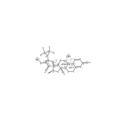 C[C@@H]1C[C@H]2[C@@H]3CCC4=CC(=O)C=C[C@]4(C)[C@@]3(F)[C@@H](O)C[C@]2(C)[C@@]1(OC(=O)C1C(C)(C)C1(C)C)C(=O)OCC#N